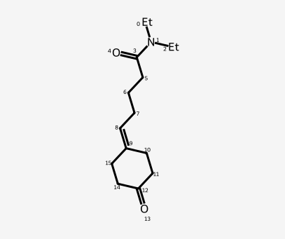 CCN(CC)C(=O)CCCC=C1CCC(=O)CC1